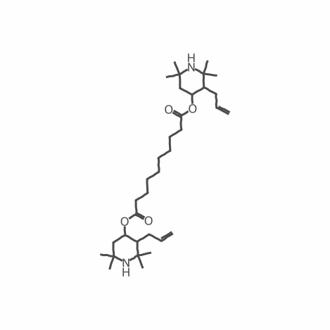 C=CCC1C(OC(=O)CCCCCCCCC(=O)OC2CC(C)(C)NC(C)(C)C2CC=C)CC(C)(C)NC1(C)C